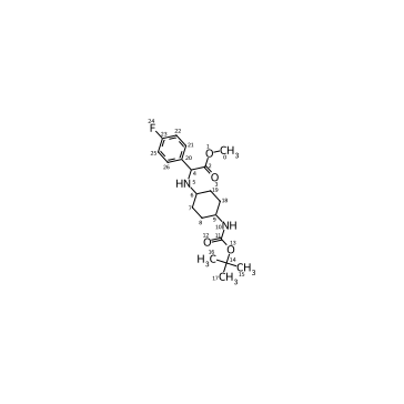 COC(=O)C(NC1CCC(NC(=O)OC(C)(C)C)CC1)c1ccc(F)cc1